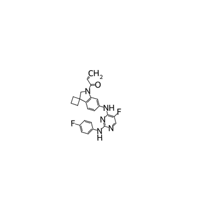 C=CC(=O)N1CC2(CCC2)c2ccc(Nc3nc(Nc4ccc(F)cc4)ncc3F)cc21